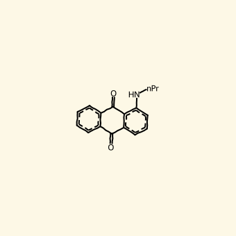 CCCNc1cccc2c1C(=O)c1ccccc1C2=O